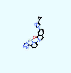 CC(C)n1cnnc1-c1cccc(-n2ccc3ccc(-n4cnc(C5CC5)c4)cc3c2=O)n1